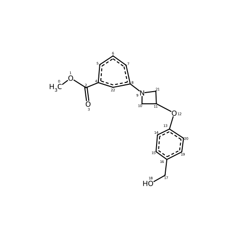 COC(=O)c1cccc(N2CC(Oc3ccc(CO)cc3)C2)c1